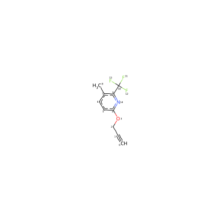 C#CCOc1ccc(C)c(C(F)(F)F)n1